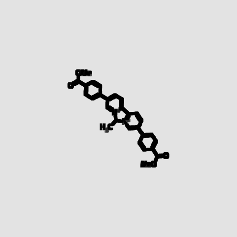 COC(=O)c1ccc(-c2ccc3[n+](c2)C(C)[n+]2cc(-c4ccc(C(=O)OC)cc4)ccc2-3)cc1